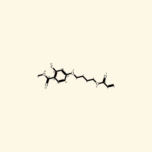 C=CC(=O)OCCCCOc1ccc(C(=O)OC)c(F)c1